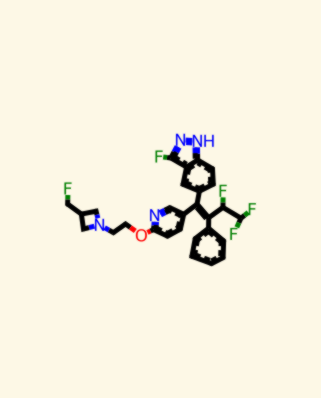 FCC1CN(CCOc2ccc(C(=C(c3ccccc3)C(F)C(F)F)c3ccc4[nH]nc(F)c4c3)cn2)C1